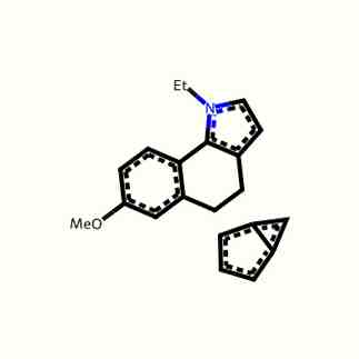 CCn1ccc2c1-c1ccc(OC)cc1CC2.c1cc2cc-2c1